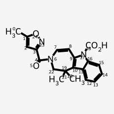 Cc1cc(C(=O)N2C=Cc3c(c4ccccc4n3C(=O)O)C(C)(C)C2)no1